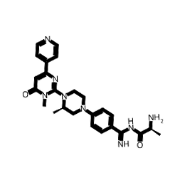 C[C@H](N)C(=O)NC(=N)c1ccc(N2CCN(c3nc(-c4ccncc4)cc(=O)n3C)[C@H](C)C2)cc1